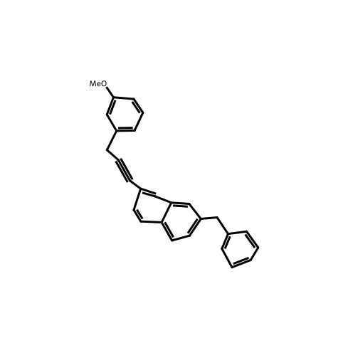 COc1cccc(CC#Cc2ccc3ccc(Cc4ccccc4)cc3c2)c1